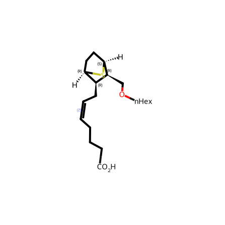 CCCCCCOC[C@H]1[C@@H](C/C=C\CCCC(=O)O)[C@H]2CC[C@@H]1S2